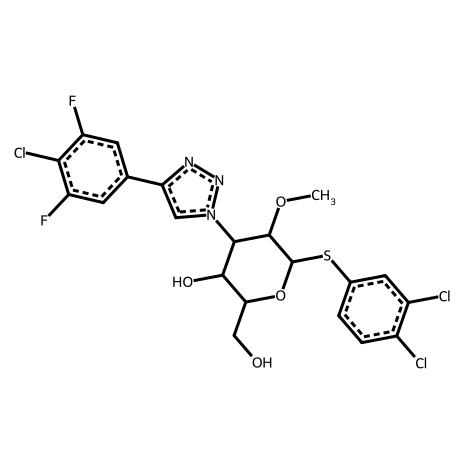 COC1C(Sc2ccc(Cl)c(Cl)c2)OC(CO)C(O)C1n1cc(-c2cc(F)c(Cl)c(F)c2)nn1